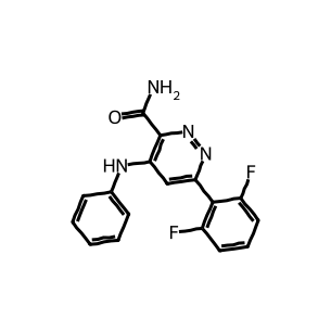 NC(=O)c1nnc(-c2c(F)cccc2F)cc1Nc1ccccc1